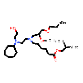 CCCCCCCCCCCCOCC(CN(CCCCCC(=O)OCC(CCCCCC)CCCCCCCC)CCN(CCO)C1CCCCCC1)OCCCCCCCC